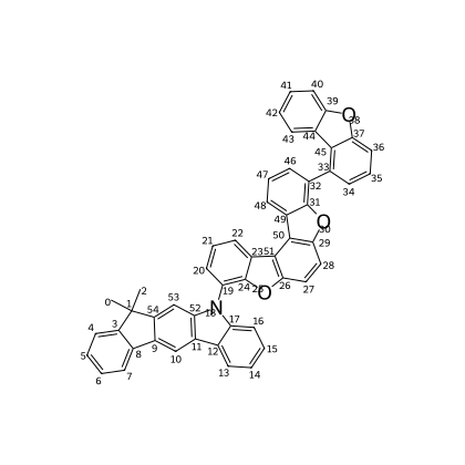 CC1(C)c2ccccc2-c2cc3c4ccccc4n(-c4cccc5c4oc4ccc6oc7c(-c8cccc9oc%10ccccc%10c89)cccc7c6c45)c3cc21